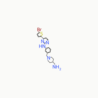 NCC1CCN(Cc2cccc(Nc3nccc(-c4ccc(Br)s4)n3)c2)CC1